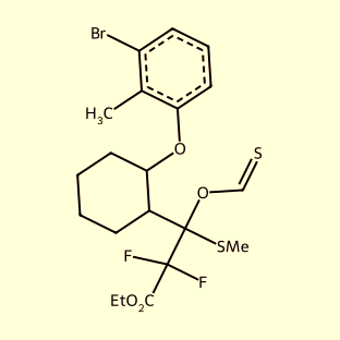 CCOC(=O)C(F)(F)C(OC=S)(SC)C1CCCCC1Oc1cccc(Br)c1C